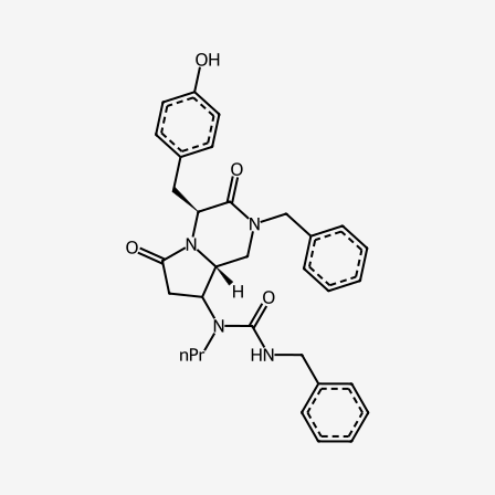 CCCN(C(=O)NCc1ccccc1)C1CC(=O)N2[C@@H]1CN(Cc1ccccc1)C(=O)[C@@H]2Cc1ccc(O)cc1